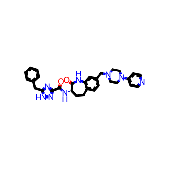 O=C(N[C@H]1CCc2ccc(CN3CCN(c4ccncc4)CC3)cc2NC1=O)c1n[nH]c(Cc2ccccc2)n1